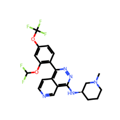 CN1CCC[C@@H](Nc2nnc(-c3ccc(OC(F)(F)F)cc3OC(F)F)c3ccncc23)C1